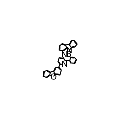 c1ccc2c(c1)B1N(c3ccc(-c4ccc5oc6ccccc6c5c4)nc3-2)c2cccc3c4ccccc4n1c23